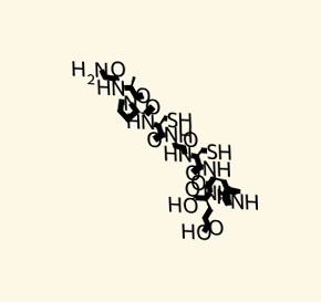 C[C@H](NC(=O)CN)C(=O)N1CCC[C@H]1C(=O)N[C@@H](CS)C(=O)NCC(=O)N[C@@H](CS)C(=O)N[C@@H](Cc1c[nH]cn1)C(=O)N[C@@H](CCC(=O)O)C(=O)O